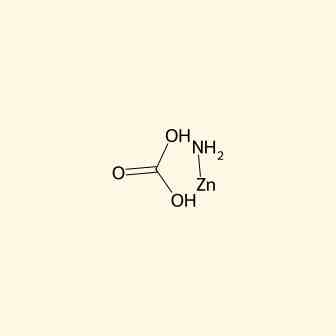 O=C(O)O.[NH2][Zn]